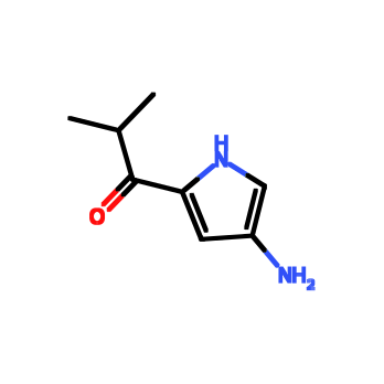 CC(C)C(=O)c1cc(N)c[nH]1